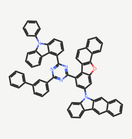 c1ccc(-c2cccc(-c3nc(-c4cc(-n5c6ccccc6c6cc7ccccc7cc65)cc5oc6c7ccccc7ccc6c45)nc(-c4cccc5c4c4ccccc4n5-c4ccccc4)n3)c2)cc1